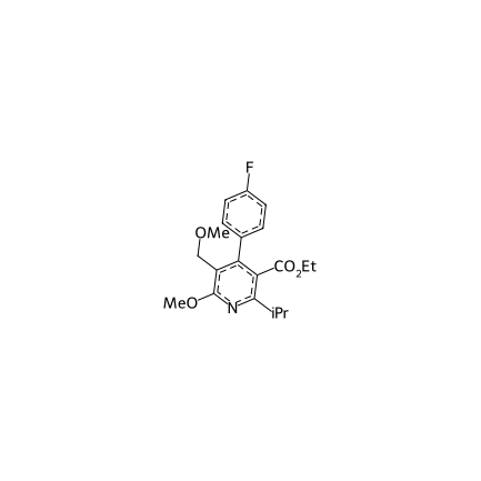 CCOC(=O)c1c(C(C)C)nc(OC)c(COC)c1-c1ccc(F)cc1